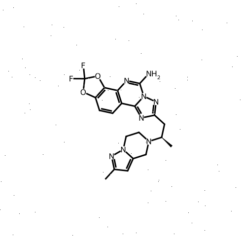 Cc1cc2n(n1)CCN([C@H](C)Cc1nc3c4ccc5c(c4nc(N)n3n1)OC(F)(F)O5)C2